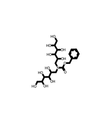 O=C(OCc1ccccc1)N(CC(O)C(O)C(O)C(O)CO)CC(O)C(O)C(O)C(O)CO